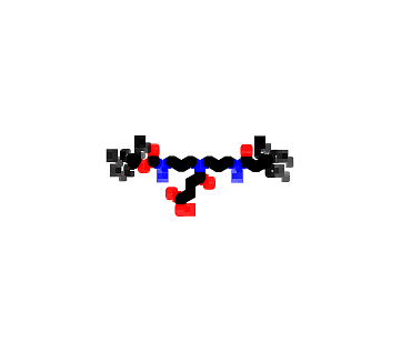 CC(C)(C)CC(=O)NCCCN(CCCNC(=O)OC(C)(C)C)C(=O)CCC(=O)O